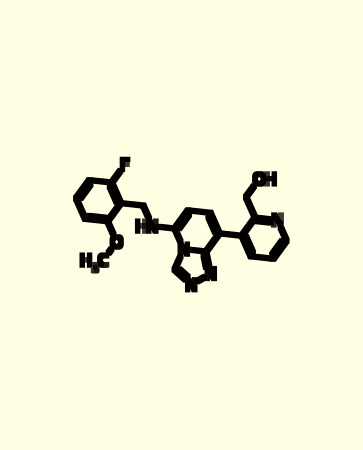 COc1cccc(F)c1CNc1ccc(-c2cccnc2CO)c2nncn12